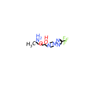 CC(N)COCC(O)CN1CCN(c2ncc(C(F)(F)F)cn2)CC1